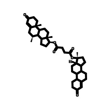 CC[C@]12CCC3C4CCC(=O)C=C4CCC3C1CC[C@]2(C)OC(=O)CCC(=O)O[C@H]1CCC2C3C(CC[C@@]21C)[C@@]1(C)CCC(=O)C=C1C[C@H]3C